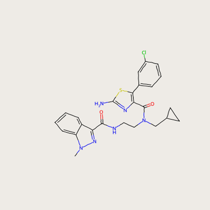 Cn1nc(C(=O)NCCN(CC2CC2)C(=O)c2nc(N)sc2-c2cccc(Cl)c2)c2ccccc21